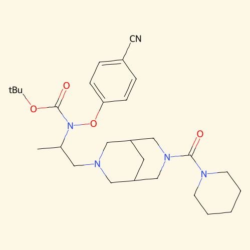 CC(CN1CC2CC(C1)CN(C(=O)N1CCCCC1)C2)N(Oc1ccc(C#N)cc1)C(=O)OC(C)(C)C